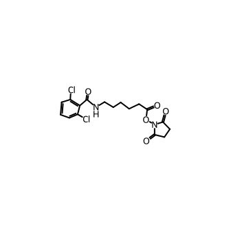 O=C(CCCCCNC(=O)c1c(Cl)cccc1Cl)ON1C(=O)CCC1=O